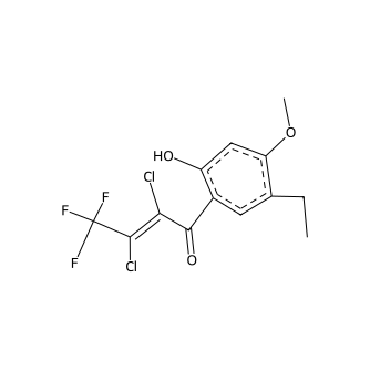 CCc1cc(C(=O)/C(Cl)=C(\Cl)C(F)(F)F)c(O)cc1OC